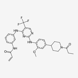 C=CC(=O)Nc1cccc(Nc2nc(Nc3ccc(C4CCN(C(=O)CC)CC4)cc3OC)ncc2C(F)(F)F)c1